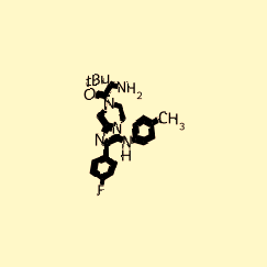 Cc1ccc(Nc2c(-c3ccc(F)cc3)nc3n2CCN(C(=O)C(N)C(C)(C)C)C3)cc1